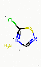 Clc1ncns1.S